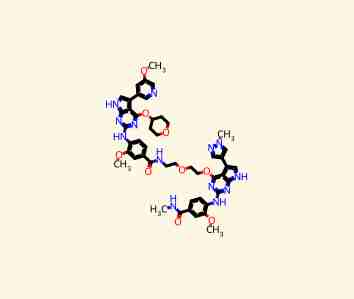 CNC(=O)c1ccc(Nc2nc(OCCOCCNC(=O)c3ccc(Nc4nc(OC5CCOCC5)c5c(-c6cncc(OC)c6)c[nH]c5n4)c(OC)c3)c3c(-c4cnn(C)c4)c[nH]c3n2)c(OC)c1